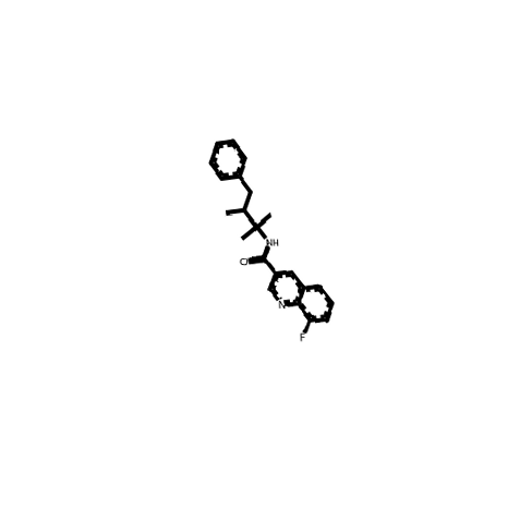 CC(Cc1ccccc1)C(C)(C)NC(=O)c1cnc2c(F)cccc2c1